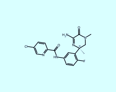 CN1C[C@@](C)(c2cc(NC(=O)c3ccc(Cl)cn3)ccc2F)N=C(N)C1=O